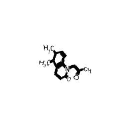 Cc1ccc2c(ccc(=O)n2CC(=O)O)c1C